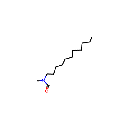 CCCCCCCCCCCN(C)[C]=O